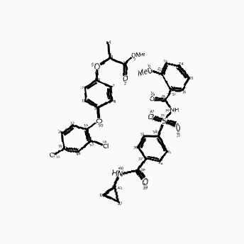 COC(=O)C(C)Oc1ccc(Oc2ccc(Cl)cc2Cl)cc1.COc1ccccc1C(=O)NS(=O)(=O)c1ccc(C(=O)NC2CC2)cc1